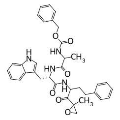 CC(NC(=O)OCc1ccccc1)C(=O)N[C@@H](Cc1c[nH]c2ccccc12)C(=O)NC(CCc1ccccc1)C(=O)C1(C)CO1